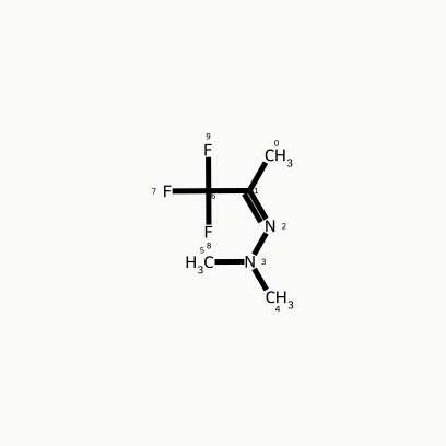 CC(=NN(C)C)C(F)(F)F